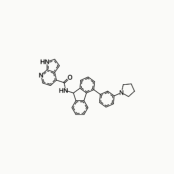 O=C(NC1c2ccccc2-c2c(-c3cccc(N4CCCC4)c3)cccc21)c1ccnc2[nH]ccc12